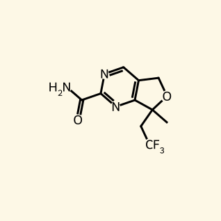 CC1(CC(F)(F)F)OCc2cnc(C(N)=O)nc21